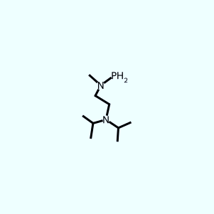 CC(C)N(CCN(C)P)C(C)C